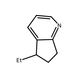 CCC1CCc2ncccc21